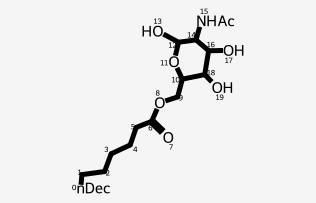 CCCCCCCCCCCCCCCC(=O)OCC1OC(O)C(NC(C)=O)C(O)C1O